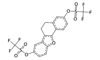 O=S(=O)(Oc1ccc2c(c1)CCc1c-2oc2ccc(OS(=O)(=O)C(F)(F)F)cc12)C(F)(F)F